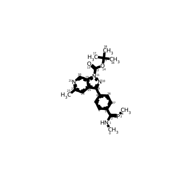 CN/C(=P/C)c1ccc(-c2nn(C(=O)OC(C)(C)C)c3cnc(C)cc23)cc1